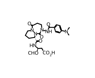 CN(C)c1ccc(C(=O)NN2CCC(=O)N3CCC[C@@H](C(=O)N[C@H](C=O)CC(=O)O)N3C2=O)cc1